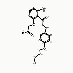 O=C(O)COc1cccc(O)c1C(=O)CCc1ccc(OCCCO)cc1